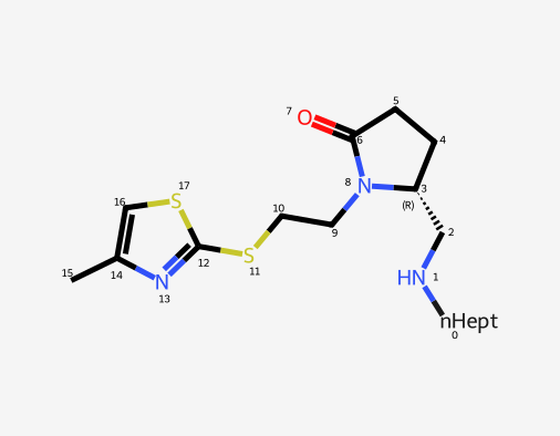 CCCCCCCNC[C@H]1CCC(=O)N1CCSc1nc(C)cs1